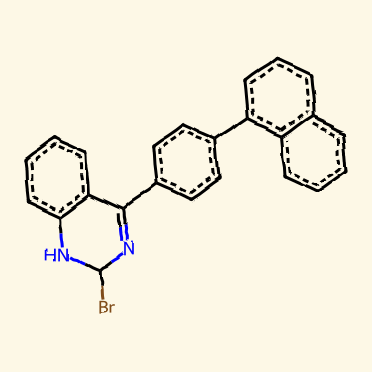 BrC1N=C(c2ccc(-c3cccc4ccccc34)cc2)c2ccccc2N1